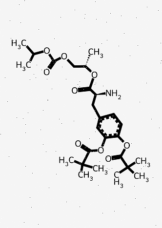 CC(C)OC(=O)OC[C@H](C)OC(=O)[C@@H](N)Cc1ccc(OC(=O)C(C)(C)C)c(OC(=O)C(C)(C)C)c1